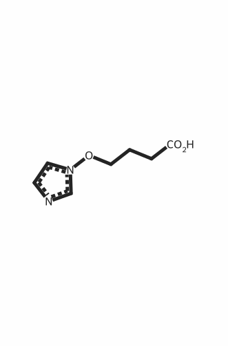 O=C(O)CCCOn1ccnc1